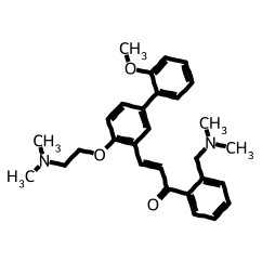 COc1ccccc1-c1ccc(OCCN(C)C)c(C=CC(=O)c2ccccc2CN(C)C)c1